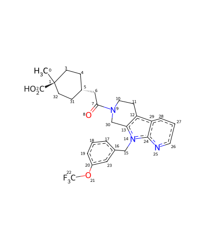 C[C@]1(C(=O)O)CC[C@H](CC(=O)N2CCc3c(n(Cc4cccc(OC(F)(F)F)c4)c4ncccc34)C2)CC1